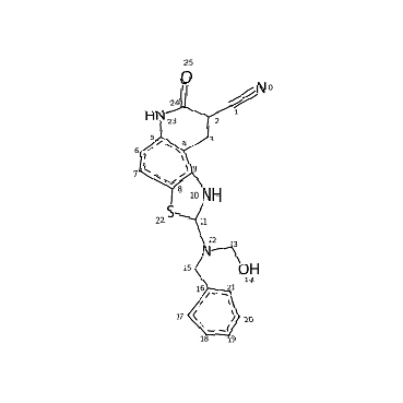 N#CC1Cc2c(ccc3c2NC(N(CO)Cc2ccccc2)S3)NC1=O